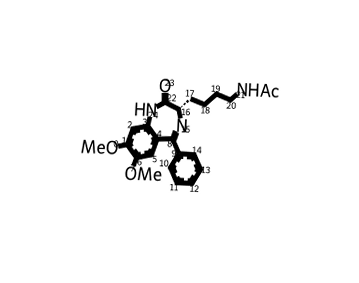 COc1cc2c(cc1OC)C(c1ccccc1)=N[C@@H](CCCCNC(C)=O)C(=O)N2